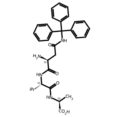 CC(C)[C@H](NC(=O)[C@@H](N)CC(=O)NC(c1ccccc1)(c1ccccc1)c1ccccc1)C(=O)N[C@@H](C)C(=O)O